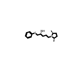 C[C@@H]1CC[C@H](C)N1CCC[C@@H]([NH])CSc1ccccc1